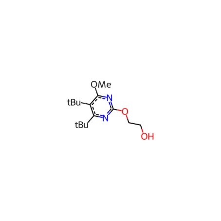 COc1nc(OCCO)nc(C(C)(C)C)c1C(C)(C)C